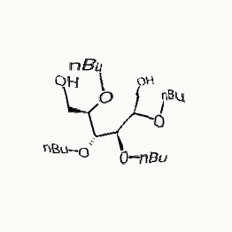 CCCCO[C@@H]([C@H](OCCCC)[C@@H](CO)OCCCC)[C@@H](CO)OCCCC